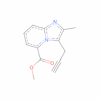 C#CCc1c(C)nc2cccc(C(=O)OC)n12